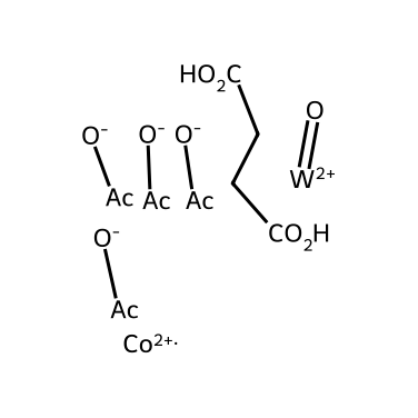 CC(=O)[O-].CC(=O)[O-].CC(=O)[O-].CC(=O)[O-].O=C(O)CCC(=O)O.[Co+2].[O]=[W+2]